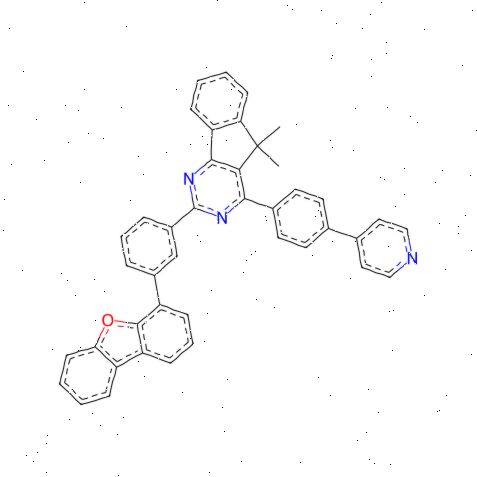 CC1(C)c2ccccc2-c2nc(-c3cccc(-c4cccc5c4oc4ccccc45)c3)nc(-c3ccc(-c4ccncc4)cc3)c21